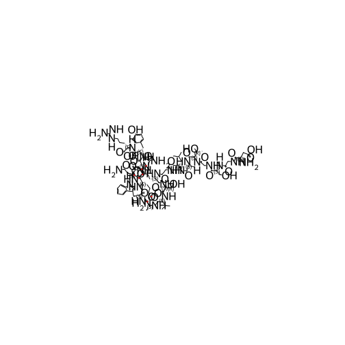 CC(C)C[C@H](NC(=O)[C@H](C)NC(=O)[C@@H](NC(=O)CNC(=O)[C@H](CO)NC(=O)CNC(=O)[C@@H](N)CC(=O)O)[C@@H](C)O)C(=O)NCC(=O)N[C@@H](Cc1c[nH]c2ccccc12)C(=O)N[C@H](C(=O)N[C@H](C(=O)N[C@@H](C)C(=O)N[C@@H](Cc1c[nH]c2ccccc12)C(=O)N[C@@H](CCCCN)C(=O)N[C@@H](CC(N)=O)C(=O)N[C@@H](CC(N)=O)C(=O)N[C@@H](Cc1ccc(O)cc1)C(=O)N[C@@H](CCCNC(=N)N)C(=O)O)C(C)C)[C@@H](C)O